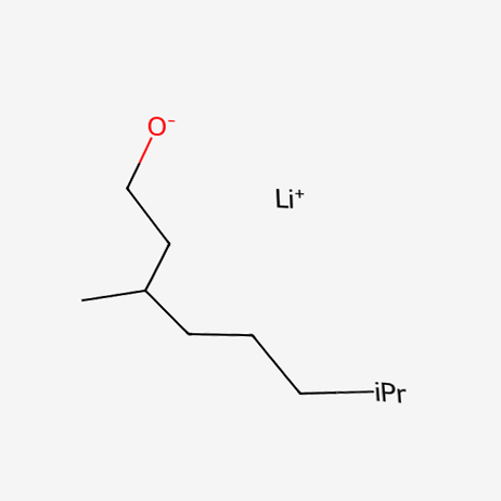 CC(C)CCCC(C)CC[O-].[Li+]